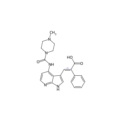 CN1CCN(C(=O)Nc2ccnc3[nH]cc(/C=C(/C(=O)O)c4ccccc4)c23)CC1